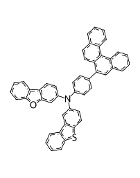 c1ccc2c(c1)ccc1c(-c3ccc(N(c4ccc5c(c4)oc4ccccc45)c4ccc5sc6ccccc6c5c4)cc3)cc3ccccc3c12